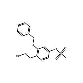 CS(=O)(=O)Oc1ccc(CCBr)c(OCc2ccccc2)c1